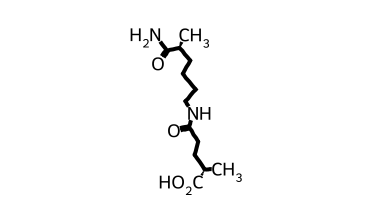 C[C@@H](CCCCNC(=O)CC[C@H](C)C(=O)O)C(N)=O